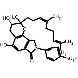 CC(C)=CCCC(C)=CCC[C@]1(C)Oc2c(c(O)cc3c2CN(c2ccc(S(=O)(=O)O)cc2)C3=O)C[C@@H]1O